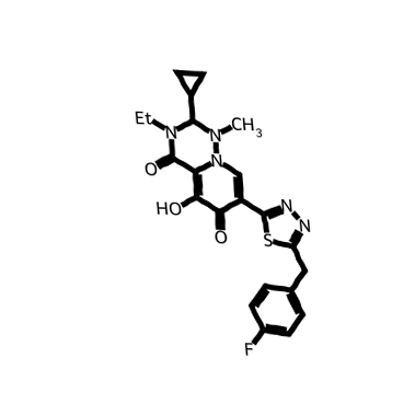 CCN1C(=O)c2c(O)c(=O)c(-c3nnc(Cc4ccc(F)cc4)s3)cn2N(C)C1C1CC1